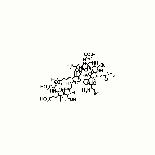 CC[C@H](C)[C@H](NC(=O)[C@H](CCC(N)=O)NC(=O)[C@@H]1CCCN1C(=O)[C@@H](N)CC(C)C)C(=O)N[C@@H](CCC(=O)O)C(=O)N[C@@H](CC(N)=O)C(=O)N[C@H](C(=O)N[C@@H](CCCCN)C(=O)NCC(=O)N[C@H](C(=O)N[C@@H](CCC(=O)O)C(=O)N[C@@H](CC(=O)O)C(=O)O)[C@@H](C)O)C(C)C